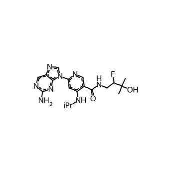 CC(C)Nc1cc(-n2cnc3cnc(N)nc32)ncc1C(=O)NCC(F)C(C)(C)O